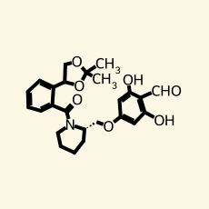 CC1(C)OCC(c2ccccc2C(=O)N2CCCC[C@H]2COc2cc(O)c(C=O)c(O)c2)O1